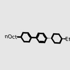 CCCCCCCCC1CC=C(c2ccc([C@H]3CC[C@H](CC)CC3)cc2)CC1